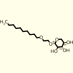 CCCCCCCCCCOCCO[C@@H]1OC[C@@H](O)[C@H](O)[C@H]1O